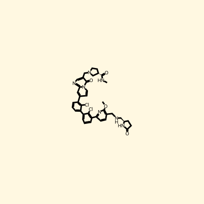 CNC(=O)[C@H]1CCN(Cc2cnc3cc(-c4cccc(-c5cccc(-c6ccc(CNC[C@H]7CCC(=O)N7)c(OC)n6)c5Cl)c4Cl)ccn3c2=O)C1